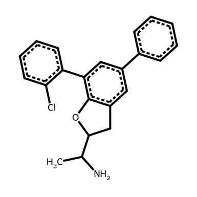 CC(N)C1Cc2cc(-c3ccccc3)cc(-c3ccccc3Cl)c2O1